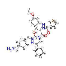 CCOc1ccc(C[C@@H](NC(=O)c2ccsc2)C(=O)N(CCc2ccccc2)C(=O)NCc2ccc(CN)cc2)cc1